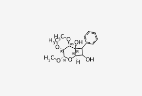 CO[C@H]1O[C@@H]2C(O)C(c3ccccc3)[C@@]2(O)[C@H](OC)[C@H]1OC